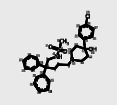 CS(=O)(=O)NCC(CCCN1CCC(O)(c2ccc(Cl)cc2)CC1)(c1ccccc1)c1ccccc1